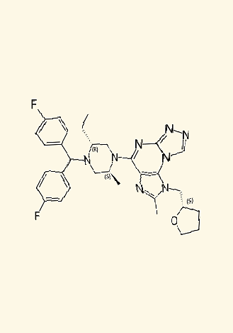 CC[C@@H]1CN(c2nc3nncn3c3c2nc(C)n3C[C@@H]2CCCO2)[C@@H](C)CN1C(c1ccc(F)cc1)c1ccc(F)cc1